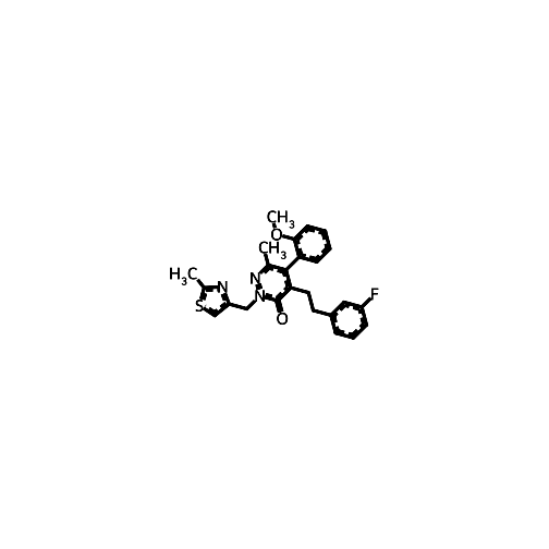 COc1ccccc1-c1c(C)nn(Cc2csc(C)n2)c(=O)c1CCc1cccc(F)c1